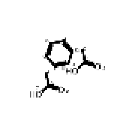 CC(=O)O.CC(=O)O.c1ccccc1